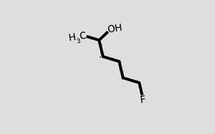 CC(O)[CH]CCCF